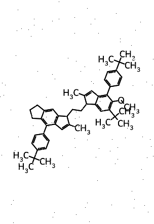 COc1c(C(C)(C)C)cc2c(c1-c1ccc(C(C)(C)C)cc1)C=C(C)C2CCC1C(C)=Cc2c1cc1c(c2-c2ccc(C(C)(C)C)cc2)CCC1